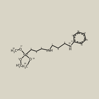 CO[Si](CCCNCCCNc1ccccc1)(OC)OC